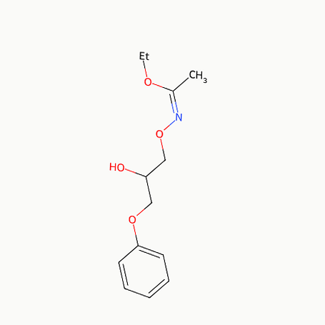 CCOC(C)=NOCC(O)COc1ccccc1